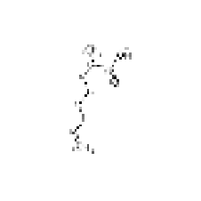 C=CCCCCC(C)C(=O)O